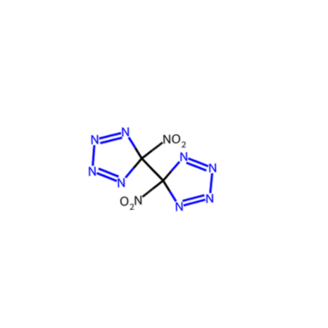 O=[N+]([O-])C1(C2([N+](=O)[O-])N=NN=N2)N=NN=N1